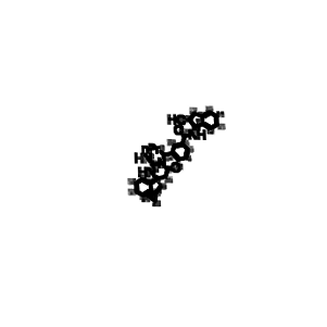 CCCC(c1cccc(C(=O)N[C@@H]2c3ccccc3C[C@H]2O)c1)N1C(=N)N[C@](CC2CC2)(c2ccccc2)CC1=O